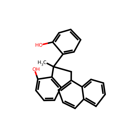 CC(Cc1cccc2ccccc12)(c1ccccc1O)c1ccccc1O